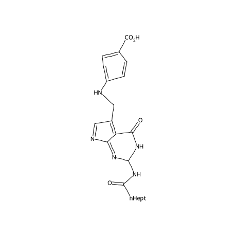 CCCCCCCC(=O)NC1N=C2N=CC(CNc3ccc(C(=O)O)cc3)=C2C(=O)N1